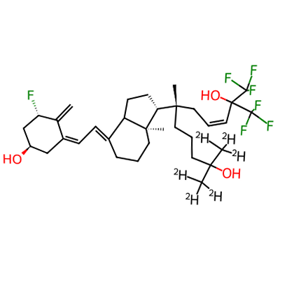 [2H]C([2H])([2H])C(O)(CCC[C@@](C)(C/C=C\C(O)(C(F)(F)F)C(F)(F)F)[C@H]1CCC2/C(=C/C=C3/C[C@@H](O)C[C@H](F)C3=C)CCC[C@@]21C)C([2H])([2H])[2H]